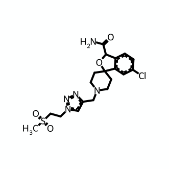 CS(=O)(=O)CCn1cc(CN2CCC3(CC2)OC(C(N)=O)c2ccc(Cl)cc23)nn1